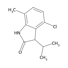 Cc1ccc(Cl)c2c1NC(=O)C2C(C)C